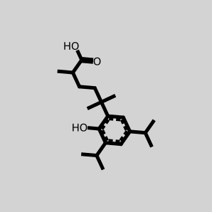 CC(CCC(C)(C)c1cc(C(C)C)cc(C(C)C)c1O)C(=O)O